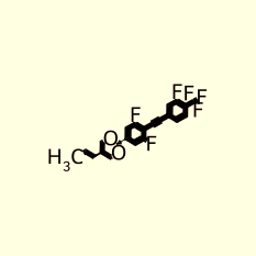 CCC[C@H]1CO[C@H](c2cc(F)c(C#Cc3ccc(C(F)(F)F)c(F)c3)c(F)c2)OC1